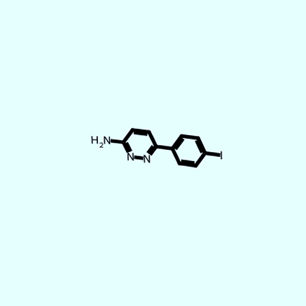 Nc1ccc(-c2ccc(I)cc2)nn1